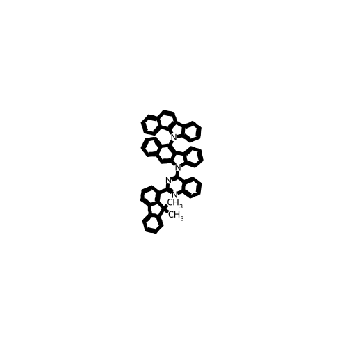 CC1(C)c2ccccc2-c2cccc(-c3nc(-n4c5ccccc5c5c(-n6c7ccccc7c7ccc8ccccc8c76)c6ccccc6cc54)c4ccccc4n3)c21